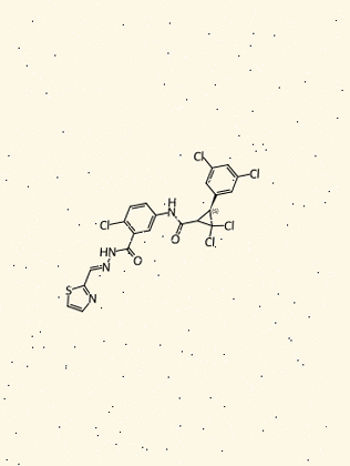 O=C(NN=Cc1nccs1)c1cc(NC(=O)C2[C@@H](c3cc(Cl)cc(Cl)c3)C2(Cl)Cl)ccc1Cl